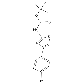 CC(C)(C)OC(=O)Nc1nc(-c2ccc(Br)cc2)cs1